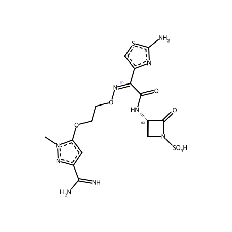 Cn1nc(C(=N)N)cc1OCCO/N=C(\C(=O)N[C@H]1CN(S(=O)(=O)O)C1=O)c1csc(N)n1